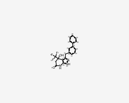 O=C1CC(O)(C(F)(F)F)c2c(Cc3cccc(-c4ccccc4)c3)n[nH]c2N1